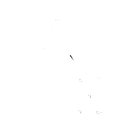 COc1ccc([C@H]2CC(=O)N(c3ccnc(N)n3)C2)cc1OC1CCCC1